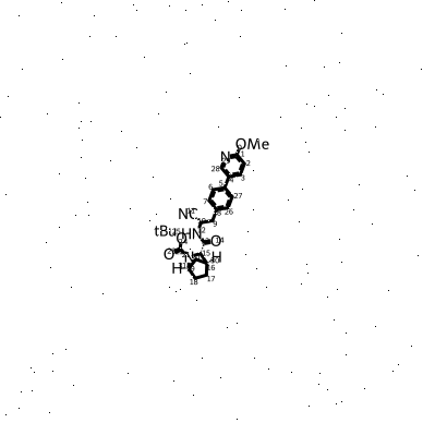 COc1ccc(-c2ccc(C[C@@H](C#N)NC(=O)[C@@H]3[C@H]4CC[C@H](C4)N3C(=O)OC(C)(C)C)cc2)cn1